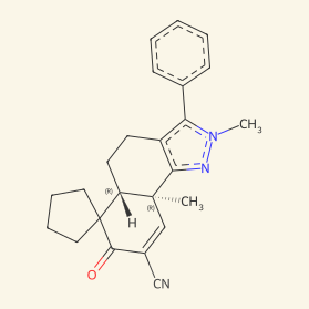 Cn1nc2c(c1-c1ccccc1)CC[C@H]1C3(CCCC3)C(=O)C(C#N)=C[C@]21C